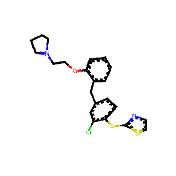 Clc1cc(Cc2[c]cccc2OCCN2CCCC2)ccc1Sc1nccs1